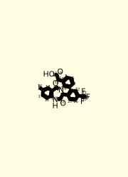 O=C(O)Cc1ccccc1N1C(=O)c2cc(I)ccc2NC(=O)C1c1ccc(C(F)(F)F)cc1